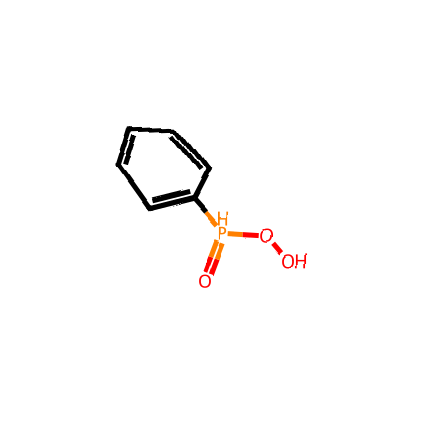 O=[PH](OO)c1ccccc1